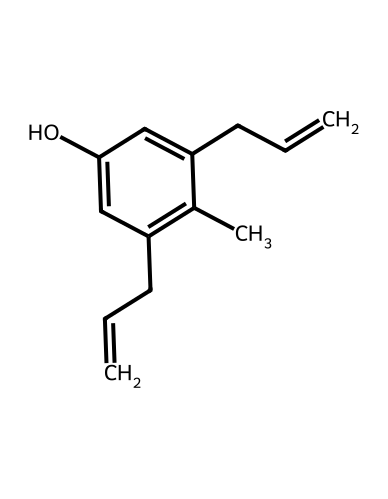 C=CCc1cc(O)cc(CC=C)c1C